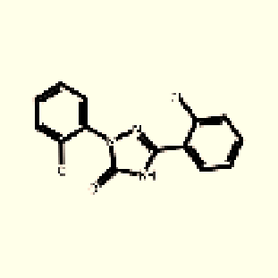 O=c1[nH]c(-c2ccccc2Cl)nn1-c1ccccc1Cl